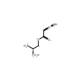 N=[N+]=CC(=O)OC[C@H](N)C(=O)O